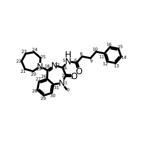 CN1C(=O)C(NC(=O)CCCc2ccccc2)N=C(N2CCCCCC2)c2ccccc21